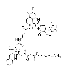 CC[C@@]1(O)C(=O)OCc2c1cc1n(c2=O)Cc2c-1nc1cc(F)c(C)c3c1c2[C@@H](NC(=O)CCCNC(=O)CNC(=O)C(Cc1ccccc1)NC(=O)CNC(=O)CNC(=O)CCCCCN)CC3